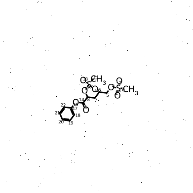 CS(=O)(=O)OCCCC(OS(C)(=O)=O)C(=O)Oc1ccccc1